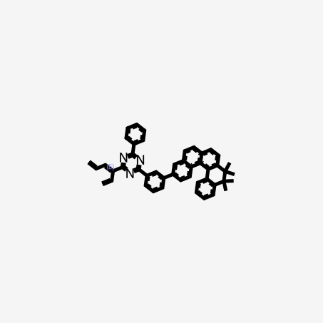 C=C/C=C(\C=C)c1nc(-c2ccccc2)nc(-c2cccc(-c3ccc4c(ccc5ccc6c(c54)-c4ccccc4C(C)(C)C6(C)C)c3)c2)n1